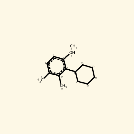 C.Cc1ccc(O)c(C2CCCCC2)c1C